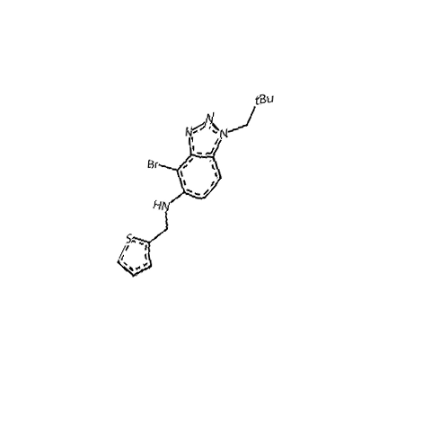 CC(C)(C)Cn1nnc2c(Br)c(NCc3cccs3)ccc21